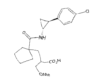 COCC(CC1(C(=O)N[C@@H]2C[C@H]2c2ccc(Cl)cc2)CCCC1)C(=O)O